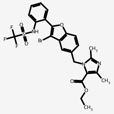 CCOC(=O)c1c(C)nc(C)n1Cc1ccc2oc(-c3ccccc3NS(=O)(=O)C(F)(F)F)c(Br)c2c1